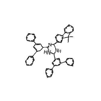 CC1(C)c2ccccc2-c2ccc(C3N=C(C4C=C(c5ccccc5)C=C(c5ccccc5)C4)NC(c4cc(-c5ccccc5)cc(-c5ccccc5)c4)N3)cc21